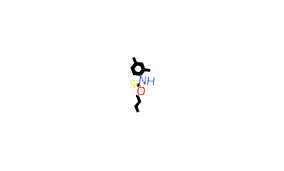 CCCCOC(=S)Nc1ccc(C)cc1C